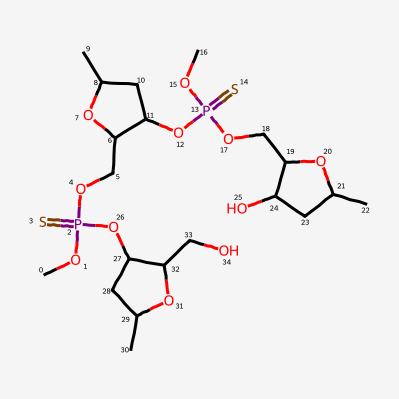 COP(=S)(OCC1OC(C)CC1OP(=S)(OC)OCC1OC(C)CC1O)OC1CC(C)OC1CO